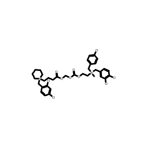 C[N+](CCOC(=O)OCOC(=O)CCC[N+]1(Cc2ccc(Cl)cc2Cl)CCCCC1)(Cc1ccc(Cl)cc1)Cc1ccc(Cl)c(Cl)c1